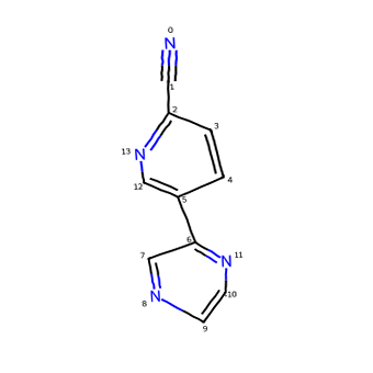 N#Cc1ccc(-c2cnc[c]n2)cn1